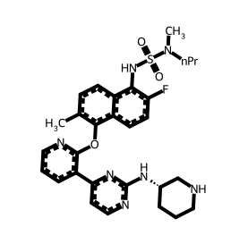 CCCN(C)S(=O)(=O)Nc1c(F)ccc2c(Oc3ncccc3-c3ccnc(N[C@H]4CCCNC4)n3)c(C)ccc12